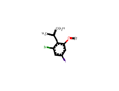 CCOc1cc(I)cc(Br)c1C(C)C(=O)O